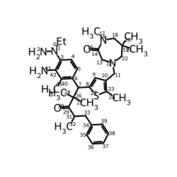 CCN(N)c1ccc(C(c2cc(CN3CC(=O)N(C)CC(C)(C)C3)c(C)s2)C(C)(C)C(=O)C(C)Cc2ccccc2)c(C)c1N